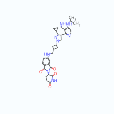 CC(C)Nc1ccnc(C2CN([C@H]3C[C@H](CNc4ccc5c(c4)C(=O)N(C4CCC(=O)NC4=O)C5=O)C3)N=C2C2CC2)c1C=N